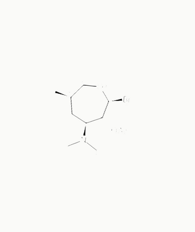 CC(=O)O[C@H]1[C@H](Br)OC[C@H](C)C[C@@H]1N(C)C